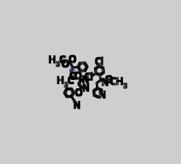 CO/C=C(/C(=O)OC)c1ccccc1Oc1cc(Oc2ccccc2C#N)ncn1.CON=C(Cc1cccnc1)c1ccc(Cl)cc1Cl